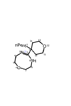 CCCCCC1(/C2=N/CCOCCN2)CCOCC1